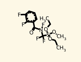 CCO[Si](OC)(OCC)C(F)(F)N(F)C(=O)c1cccc(F)c1F